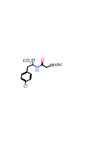 CC(=O)NCC(=O)N[C@@H](Cc1ccc(Cl)cc1)C(=O)O